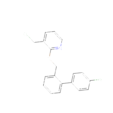 ClCc1cccnc1SCc1ccccc1-c1ccc(Br)cc1